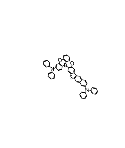 c1ccc(N(c2ccccc2)c2ccc3c(c2)Oc2cccc4c2B3c2cc3sc5cc6cc(N(c7ccccc7)c7ccccc7)ccc6cc5c3cc2O4)cc1